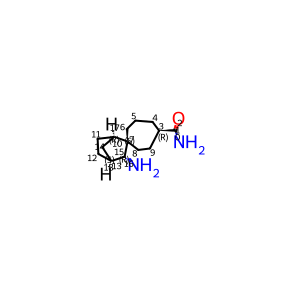 NC(=O)[C@@H]1CCC[C@]2(CC1)[C@@H]1CC[C@@H](C1)[C@H]2N